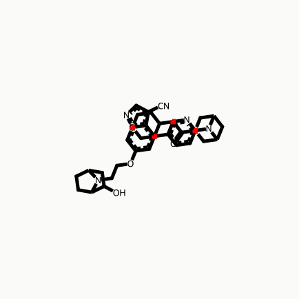 N#Cc1cnn2cc(OCCN3C4CCC3C(O)C4)cc(-c3ccc(N4C5CC4CN(C(=O)CC4CCOCC4)C5)nc3)c12